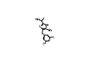 CC(C)c1[nH]c(C(C)O)nc1Sc1cc(Cl)cc(Cl)c1